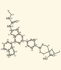 CCCC1(C(=O)O)CCN(c2ncc(-c3cc(-c4ncnc5[nH]ccc45)c4sc(NC(=O)NCC)nc4c3)cn2)CC1